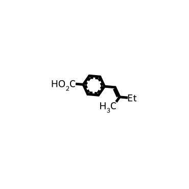 CCC(C)=Cc1ccc(C(=O)O)cc1